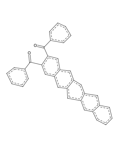 O=C(c1ccccc1)c1cc2cc3cc4cc5ccccc5cc4cc3cc2cc1C(=O)c1ccccc1